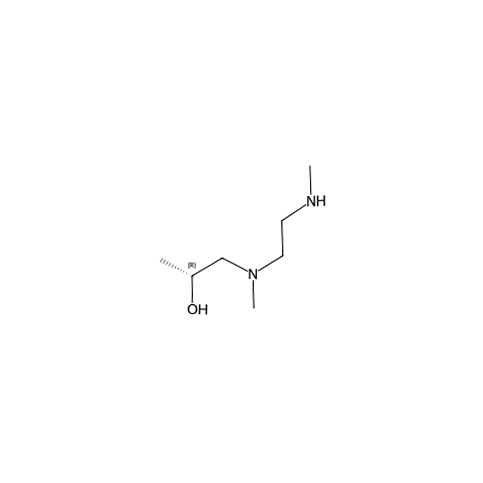 CNCCN(C)C[C@@H](C)O